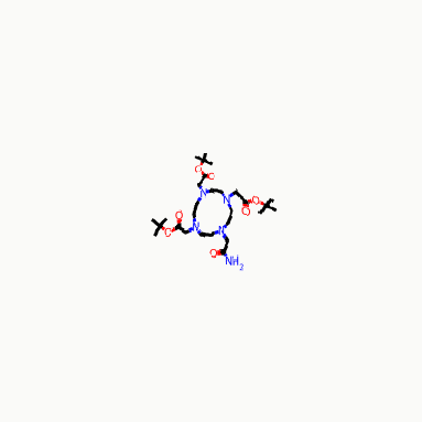 CC(C)(C)OC(=O)CN1CCN(CC(N)=O)CCN(CC(=O)OC(C)(C)C)CCN(CC(=O)OC(C)(C)C)CC1